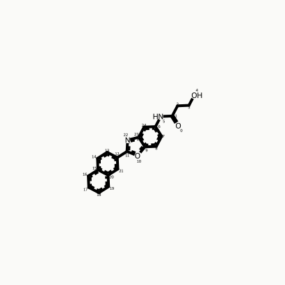 O=C(CCO)Nc1ccc2oc(-c3ccc4ccccc4c3)nc2c1